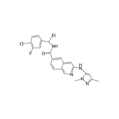 CCC(NC(=O)c1ccc2cnc(Nc3cc(C)nn3C)cc2c1)c1ccc(Cl)c(F)c1